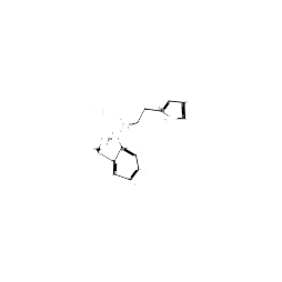 CN(CCc1cccs1)n1nnc2ccccc21